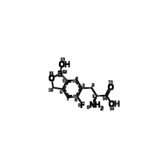 N[C@@H](Cc1cc2c(cc1F)COB2O)C(=O)O